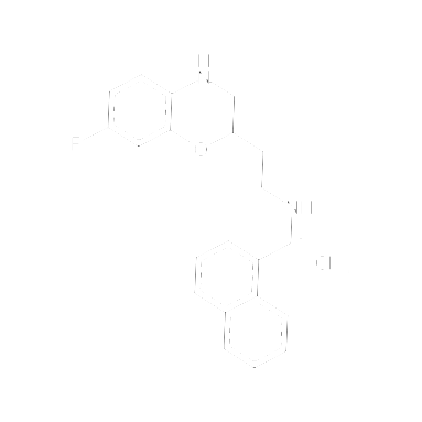 C[C@@H](NCCC1CNc2ccc(F)cc2O1)c1cccc2ccccc12